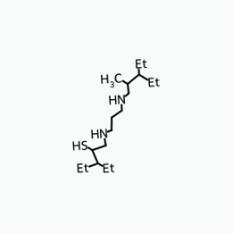 CCC(CC)C(C)CNCCCNCC(S)C(CC)CC